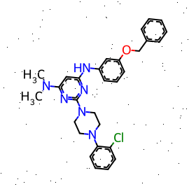 CN(C)c1cc(Nc2cccc(OCc3ccccc3)c2)nc(N2CCN(c3ccccc3Cl)CC2)n1